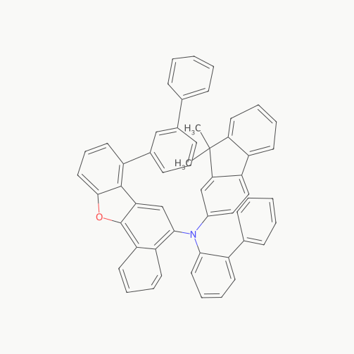 CC1(C)c2ccccc2-c2ccc(N(c3ccccc3-c3ccccc3)c3cc4c(oc5cccc(-c6cccc(-c7ccccc7)c6)c54)c4ccccc34)cc21